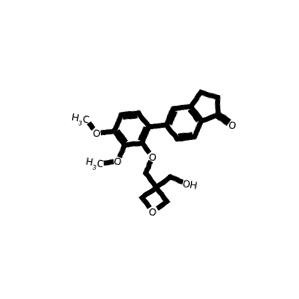 COc1ccc(-c2ccc3c(c2)CCC3=O)c(OCC2(CO)COC2)c1OC